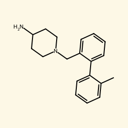 Cc1ccccc1-c1ccccc1CN1CCC(N)CC1